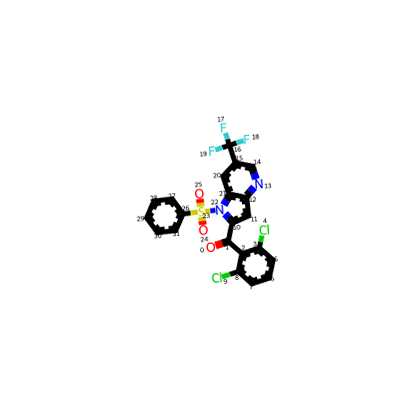 O=C(c1c(Cl)[c]ccc1Cl)c1cc2ncc(C(F)(F)F)cc2n1S(=O)(=O)c1ccccc1